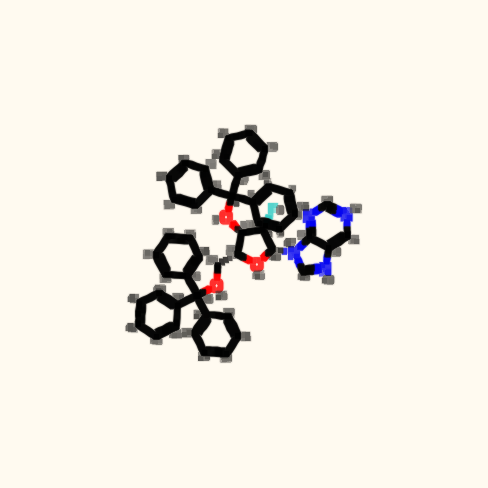 F[C@@H]1[C@H](OC(c2ccccc2)(c2ccccc2)c2ccccc2)[C@@H](COC(c2ccccc2)(c2ccccc2)c2ccccc2)O[C@H]1n1cnc2cncnc21